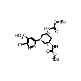 CC(C)(C)OC(=O)N[C@@H]1C[C@H](NC(=O)OC(C)(C)C)CN(c2cc(C(=O)O)c(Cl)nn2)C1